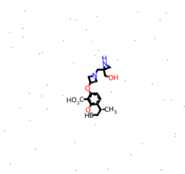 C[C@H]1CBOc2c1ccc(OC1CN(CC3(CO)CN3)C1)c2C(=O)O